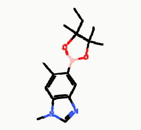 CCC1(C)OB(c2cc3ncn(C)c3cc2C)OC1(C)C